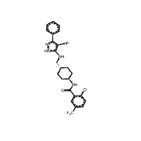 CCCc1c(-c2ccccc2)n[nH]c1NC[C@H]1CC[C@H](NC(=O)c2cc(C(F)(F)F)ccc2Cl)CC1